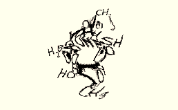 BP1(=O)OC[C@H]2O[C@@H](C)[C@H](OP(=O)(S)OC[C@H]3O[C@@H](C)[C@H](O)[C@@H]3O1)[C@@H]2O